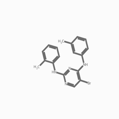 Cc1cccc(Nc2nc(Nc3ccccc3C)ncc2Br)c1